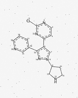 Clc1nccc(-c2cn(C3CCNC3)nc2-c2cccnc2)n1